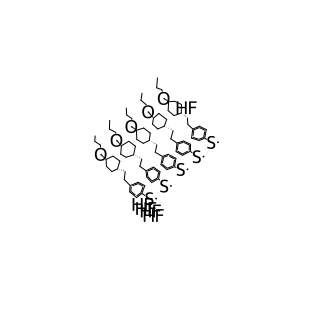 CCCO[C@H]1CC[C@H](CCc2ccc([S])cc2)CC1.CCCO[C@H]1CC[C@H](CCc2ccc([S])cc2)CC1.CCCO[C@H]1CC[C@H](CCc2ccc([S])cc2)CC1.CCCO[C@H]1CC[C@H](CCc2ccc([S])cc2)CC1.CCCO[C@H]1CC[C@H](CCc2ccc([S])cc2)CC1.F.F.F.F.F